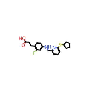 O=C(O)CCc1ccc(NCc2cccc(SC3CCCC3)n2)cc1F